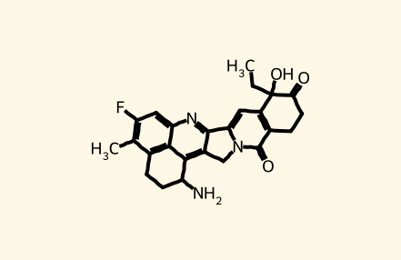 CCC1(O)C(=O)CCc2c1cc1n(c2=O)Cc2c-1nc1cc(F)c(C)c3c1c2C(N)CC3